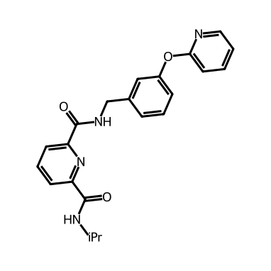 CC(C)NC(=O)c1cccc(C(=O)NCc2cccc(Oc3ccccn3)c2)n1